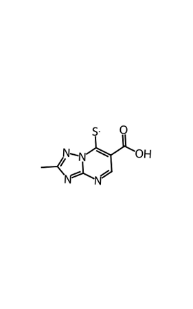 Cc1nc2ncc(C(=O)O)c([S])n2n1